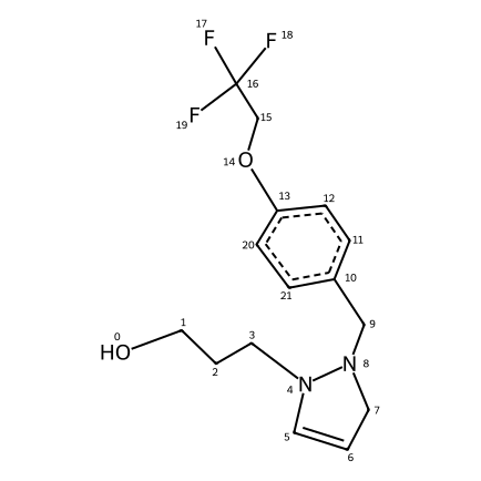 OCCCN1C=CCN1Cc1ccc(OCC(F)(F)F)cc1